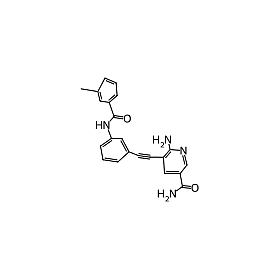 Cc1cccc(C(=O)Nc2cccc(C#Cc3cc(C(N)=O)cnc3N)c2)c1